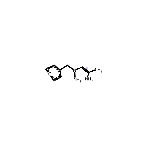 C/C(N)=C/N(N)Cc1ccccc1